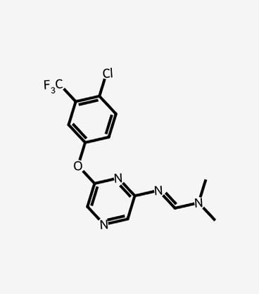 CN(C)C=Nc1cncc(Oc2ccc(Cl)c(C(F)(F)F)c2)n1